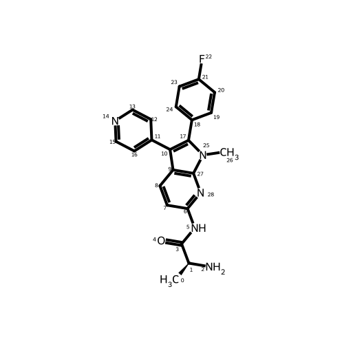 C[C@H](N)C(=O)Nc1ccc2c(-c3ccncc3)c(-c3ccc(F)cc3)n(C)c2n1